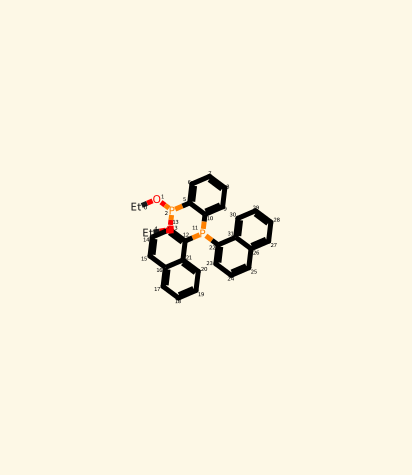 CCOP(OCC)c1ccccc1P(c1cccc2ccccc12)c1cccc2ccccc12